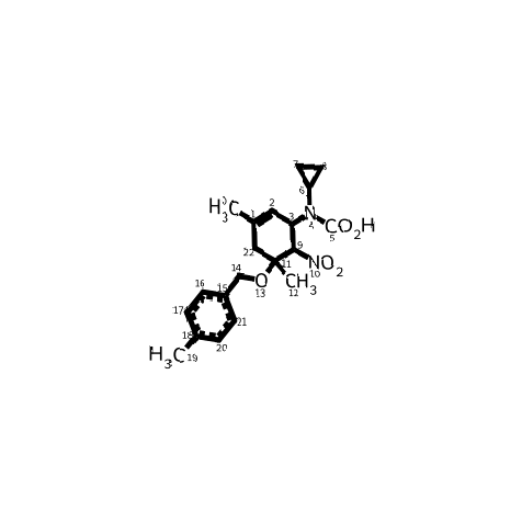 CC1=CC(N(C(=O)O)C2CC2)C([N+](=O)[O-])C(C)(OCc2ccc(C)cc2)C1